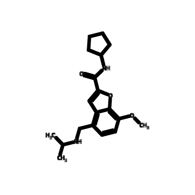 COc1ccc(CNC(C)C)c2cc(C(=O)NC3CCCC3)oc12